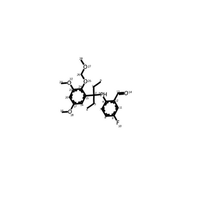 CCC(CC)(Pc1ccc(F)cc1C=O)c1cc(OC)cc(OC)c1OCOC